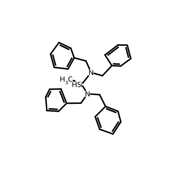 C[SiH](N(Cc1ccccc1)Cc1ccccc1)N(Cc1ccccc1)Cc1ccccc1